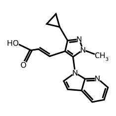 Cn1nc(C2CC2)c(/C=C/C(=O)O)c1-n1ccc2cccnc21